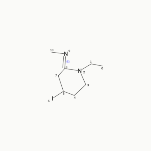 CCN1CCC(I)C/C1=N\C